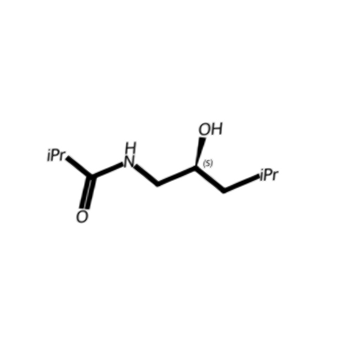 CC(C)C[C@H](O)CNC(=O)C(C)C